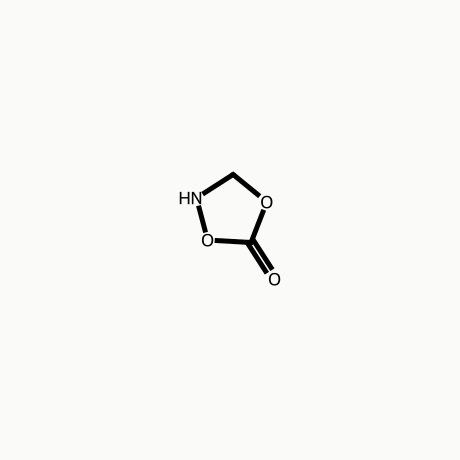 O=C1OCNO1